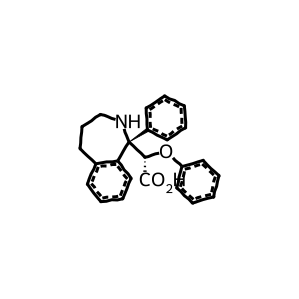 O=C(O)[C@@H](Oc1ccccc1)[C@@]1(c2ccccc2)NCCCc2ccccc21